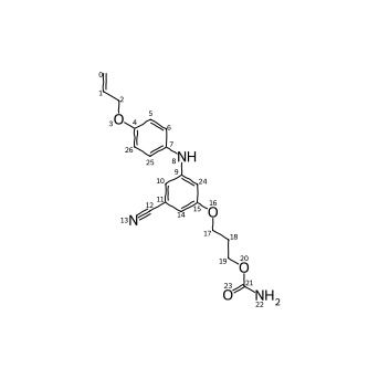 C=CCOc1ccc(Nc2cc(C#N)cc(OCCCOC(N)=O)c2)cc1